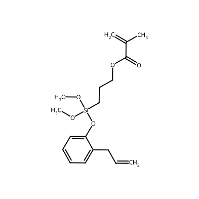 C=CCc1ccccc1O[Si](CCCOC(=O)C(=C)C)(OC)OC